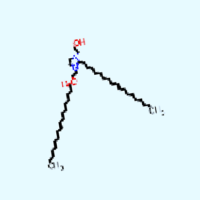 CCCCCCCCC=CCCCCCCCCC1N(CCO)CCN1CCOC(=O)CCCCCCCC=CCCCCCCCC